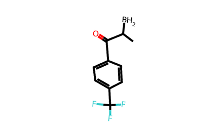 BC(C)C(=O)c1ccc(C(F)(F)F)cc1